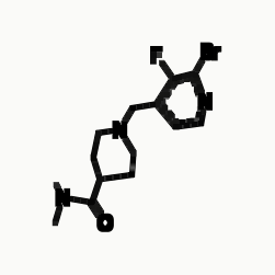 CN(C)C(=O)C1CCN(Cc2ccnc(Br)c2F)CC1